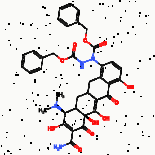 CN(C)[C@@H]1C(O)=C(C(N)=O)C(=O)[C@@]2(O)C(O)=C3C(=O)c4c(O)ccc(N(NC(=O)OCc5ccccc5)C(=O)OCc5ccccc5)c4CC3CC12